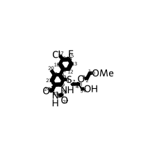 COCCO[C@@H](CO)CSc1c(-c2ccc(F)c(Cl)c2)c(C)cc2c(=O)[nH]c(=O)[nH]c12